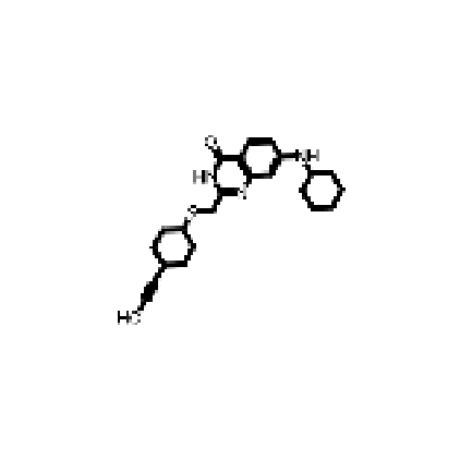 O=c1[nH]c(CSC2CCC(C#CO)CC2)nc2cc(NC3CCCCC3)ccc12